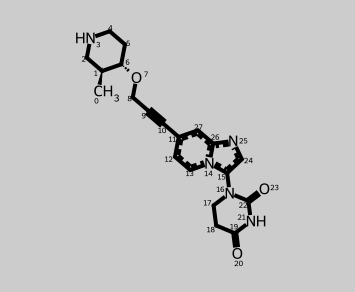 C[C@H]1CNCC[C@@H]1OCC#Cc1ccn2c(N3CCC(=O)NC3=O)cnc2c1